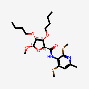 CCCCO[C@@H]1[C@@H](OCCCC)[C@H](OC)O[C@@H]1C(=O)Nc1c(SC)cc(C)nc1SC